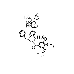 COc1cc(C(=O)N(CCCc2ccccc2)Cc2nc(C(=O)NS(=O)(=O)N(C)C3CCOC3)cs2)cc(OC)c1C